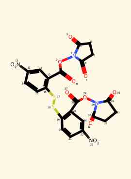 O=C(ON1C(=O)CCC1=O)c1cc([N+](=O)[O-])ccc1SSc1ccc([N+](=O)[O-])cc1C(=O)ON1C(=O)CCC1=O